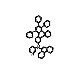 c1ccc(-c2cc(-c3ccccc3)c3c4ccc(N(c5cccnc5)c5cc6ccccc6c6ccccc56)cc4c4ccccc4c3c2-c2ccccc2)cc1